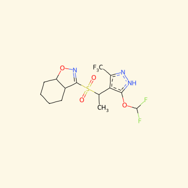 CC(c1c(C(F)(F)F)n[nH]c1OC(F)F)S(=O)(=O)C1=NOC2CCCCC12